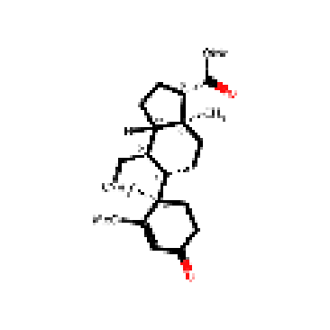 COC(=O)[C@H]1CC[C@H]2[C@H](CC#N)[C@@H]([C@@]3(C)CCC(=O)C=C3OC)CC[C@]12C